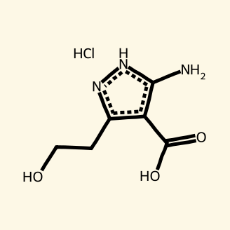 Cl.Nc1[nH]nc(CCO)c1C(=O)O